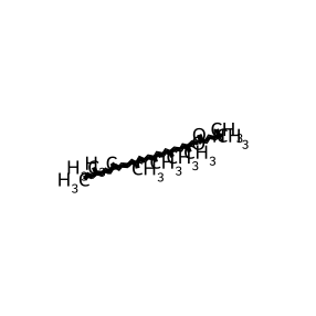 C/C=C/C(C)=C/C=C/C(C)=C/C=C/C=C(C)/C=C/C=C(C)/C=C/C=C(\C)CC/C=C(\C)COC(=O)CCCN(C)C